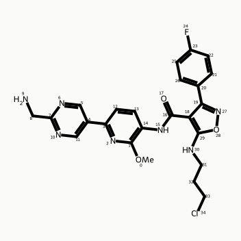 COc1nc(-c2cnc(CN)nc2)ccc1NC(=O)c1c(-c2ccc(F)cc2)noc1NCCCCl